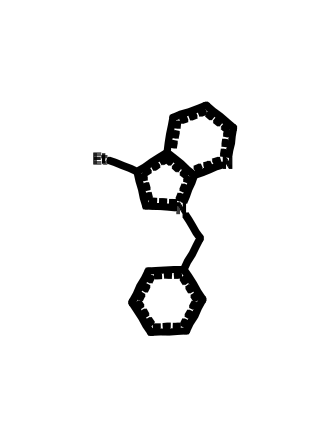 CCc1cn(Cc2ccccc2)c2ncccc12